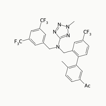 CC(=O)c1ccc(C)c(-c2ccc(C(F)(F)F)cc2CN(Cc2cc(C(F)(F)F)cc(C(F)(F)F)c2)c2nnn(C)n2)c1